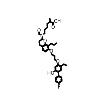 CCCc1c(OCCCOc2cc(O)c(-c3ccc(F)cc3)cc2CC)ccc2c1OC(N(C=O)CCCCC(C)C(=O)O)CC2